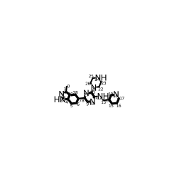 Cc1n[nH]c2ccc(-c3cnc(NCc4cccnc4)c(N4CCNCC4)n3)cc12